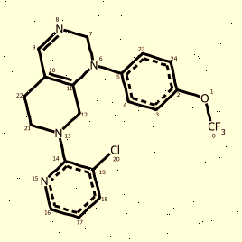 FC(F)(F)Oc1ccc(N2CN=CC3=C2CN(c2ncccc2Cl)CC3)cc1